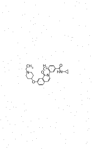 CCN1CCC(Oc2ccc3ccn(-c4cc(C(=O)NC5CC5)ccc4C)c(=O)c3c2)CC1